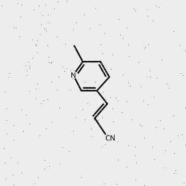 Cc1ccc(C=CC#N)cn1